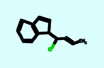 CC=CC(Cl)C1C=Cc2ccc[c]c21